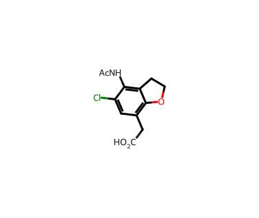 CC(=O)Nc1c(Cl)cc(CC(=O)O)c2c1CCO2